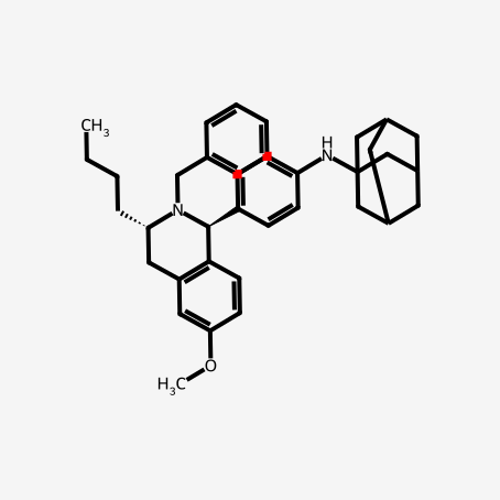 CCCC[C@H]1Cc2cc(OC)ccc2[C@H](c2ccc(NC34CC5CC(CC(C5)C3)C4)cc2)N1Cc1ccccc1